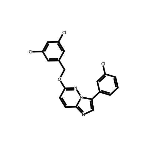 Clc1cc(Cl)cc(COc2ccc3ncc(-c4cccc(Cl)c4)n3n2)c1